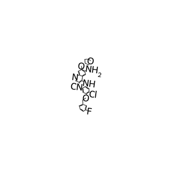 N#Cc1cnc2cc(OC3CCOC3)c(N)cc2c1Nc1ccc(OCc2cccc(F)c2)c(Cl)c1